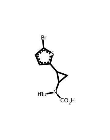 CC(C)(C)N(C(=O)O)C1CC1c1ccc(Br)s1